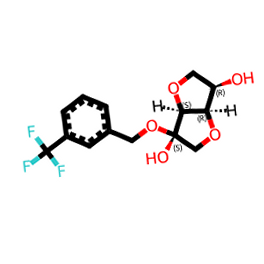 O[C@@H]1CO[C@H]2[C@@H]1OC[C@]2(O)OCc1cccc(C(F)(F)F)c1